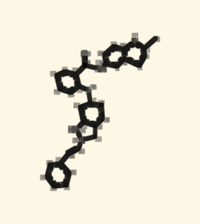 Cc1ccc2cc(NC(=O)c3ccccc3Sc3ccc4c(c3)NN(C=Cc3ccccc3)C4)ccc2n1